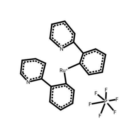 F[P-](F)(F)(F)(F)F.c1ccc(-c2cccc[c]2[Ru+][c]2ccccc2-c2ccccn2)nc1